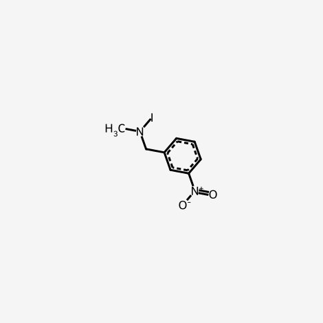 CN(I)Cc1cccc([N+](=O)[O-])c1